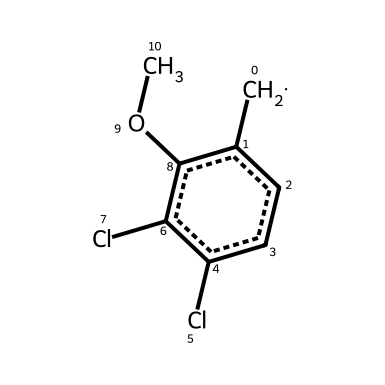 [CH2]c1ccc(Cl)c(Cl)c1OC